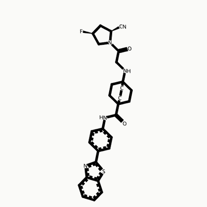 N#C[C@@H]1C[C@H](F)CN1C(=O)CNC12CCC(C(=O)Nc3ccc(-c4nc5ccccc5s4)cc3)(CC1)CC2